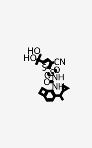 CC(c1ccc2c(c1NC(=O)NS(=O)(=O)c1sc(C(C)(O)CO)cc1C#N)CC2)C1CC1